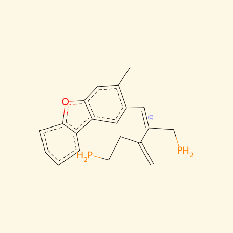 C=C(CCP)/C(=C\c1cc2c(cc1C)oc1ccccc12)CP